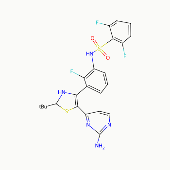 CC(C)(C)C1NC(c2cccc(NS(=O)(=O)c3c(F)cccc3F)c2F)=C(c2ccnc(N)n2)S1